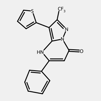 O=c1cc(-c2ccccc2)[nH]c2c(-c3cccs3)c(C(F)(F)F)nn12